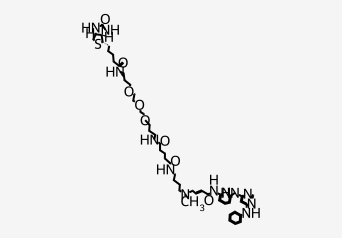 CN(C/C=C/C(=O)Nc1cccc(Nc2cc(Nc3ccccc3)ncn2)n1)CCCCNC(=O)CCCC(=O)NCCCOCCOCCOCCCNC(=O)CCCC[C@@H]1SC[C@@H]2NC(=O)N[C@@H]21